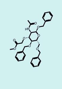 COC(=O)CO[C@@H]1[C@@H](NC(C)=O)[C@@H](OCc2ccccc2)O[C@H](COCc2ccccc2)[C@H]1OCc1ccccc1